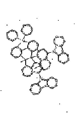 Cc1cccc2c(-n3c4ccccc4c4ccccc43)ccc(C34c5cccc6c5-c5c(cccc5[Si]6(c5ccccc5)c5ccccc5)C3(C)c3cccc5c(-n6c7ccccc7c7ccccc76)ccc4c35)c12